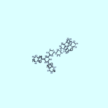 c1cc(-c2cccc(-c3ccc4c(c3)C3(c5ccccc5Oc5ccccc53)c3ccccc3-4)c2)cc(-c2cc(-c3nc4ccncc4o3)cc(-c3nc4ccncc4o3)c2)c1